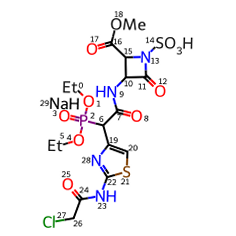 CCOP(=O)(OCC)C(C(=O)NC1C(=O)N(S(=O)(=O)O)C1C(=O)OC)c1csc(NC(=O)CCl)n1.[NaH]